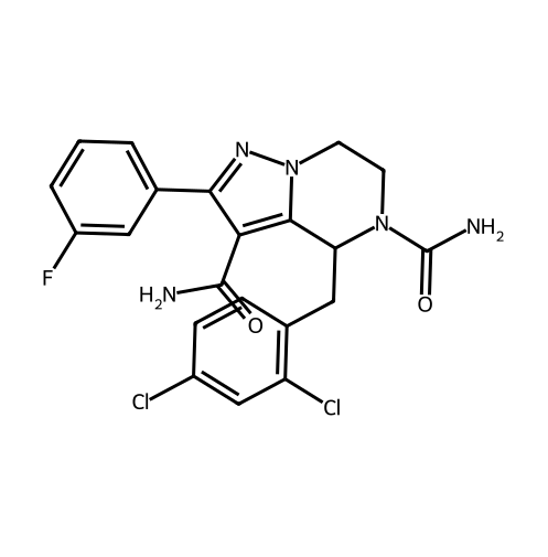 NC(=O)c1c(-c2cccc(F)c2)nn2c1C(Cc1ccc(Cl)cc1Cl)N(C(N)=O)CC2